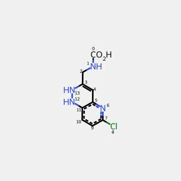 O=C(O)NCC1=Cc2nc(Cl)ccc2NN1